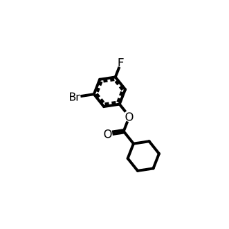 O=C(Oc1cc(F)cc(Br)c1)C1CCCCC1